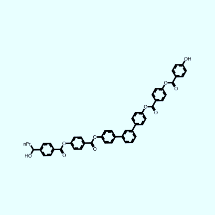 CCCC(O)c1ccc(C(=O)Oc2ccc(C(=O)Oc3ccc(-c4cccc(-c5ccc(OC(=O)c6ccc(OC(=O)c7ccc(O)cc7)cc6)cc5)c4)cc3)cc2)cc1